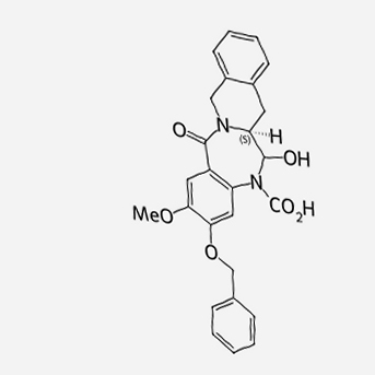 COc1cc2c(cc1OCc1ccccc1)N(C(=O)O)C(O)[C@@H]1Cc3ccccc3CN1C2=O